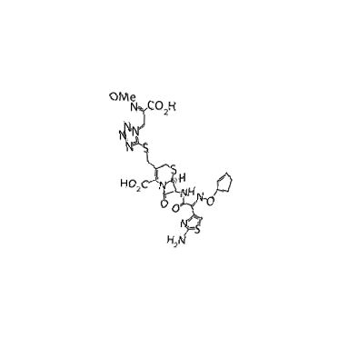 CON=C(Cn1nnnc1SCC1=C(C(=O)O)N2C(=O)C(NC(=O)C(=NOC3C=CCC3)c3csc(N)n3)[C@@H]2SC1)C(=O)O